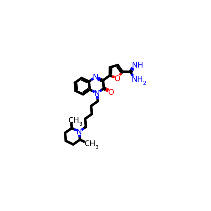 CC1CCCC(C)N1CCCCCn1c(=O)c(-c2ccc(C(=N)N)o2)nc2ccccc21